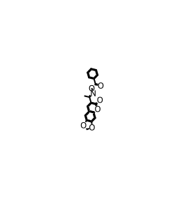 C/C(=N\OC(=O)c1ccccc1)c1cc2cc3c(cc2oc1=O)OCO3